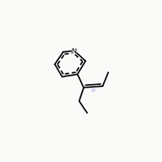 C/C=C(/CC)c1cccnc1